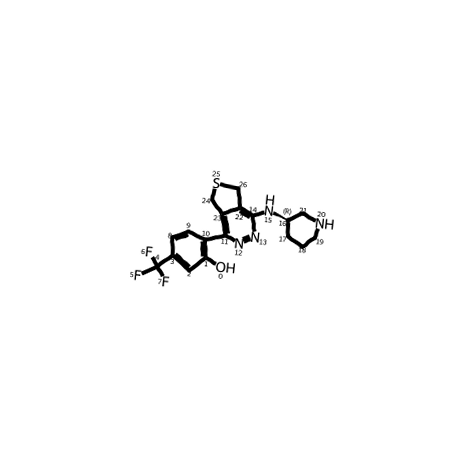 Oc1cc(C(F)(F)F)ccc1-c1nnc(N[C@@H]2CCCNC2)c2c1CSC2